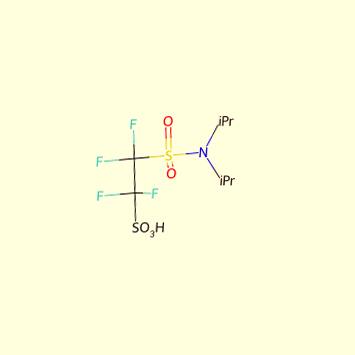 CC(C)N(C(C)C)S(=O)(=O)C(F)(F)C(F)(F)S(=O)(=O)O